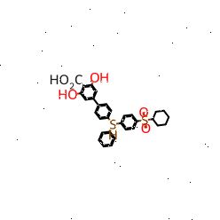 O=C(O)c1c(O)cc(-c2ccc([SH](c3ccccc3)c3ccc(S(=O)(=O)C4CCCCC4)cc3)cc2)cc1O